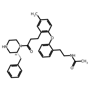 CC(=O)NCCc1ccccc1Oc1ccc(C)cc1CCC(=O)N1CCNC[C@H]1Cc1ccccc1